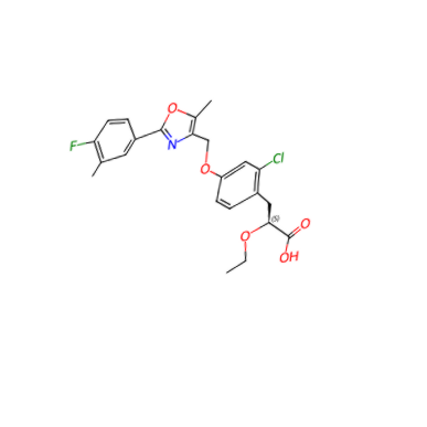 CCO[C@@H](Cc1ccc(OCc2nc(-c3ccc(F)c(C)c3)oc2C)cc1Cl)C(=O)O